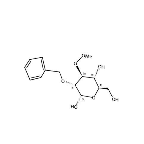 COO[C@H]1[C@H](O)[C@@H](CO)O[C@H](O)[C@@H]1OCc1ccccc1